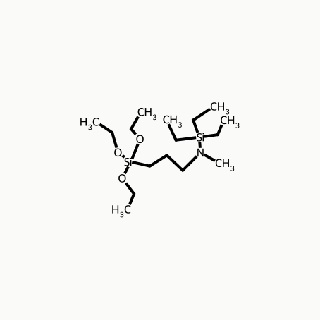 CCO[Si](CCCN(C)[Si](CC)(CC)CC)(OCC)OCC